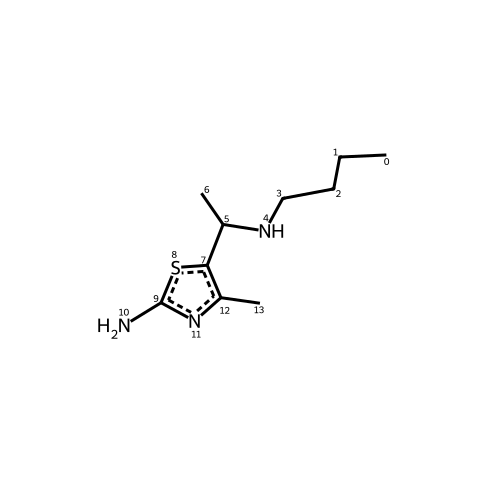 CCCCNC(C)c1sc(N)nc1C